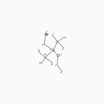 CCO[Si](CBr)(C(C)(C)C)C(C)(C)C